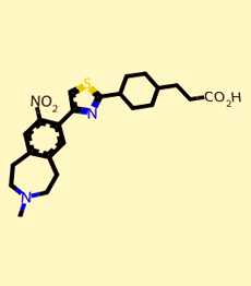 CN1CCc2cc(-c3csc(C4CCC(CCC(=O)O)CC4)n3)c([N+](=O)[O-])cc2CC1